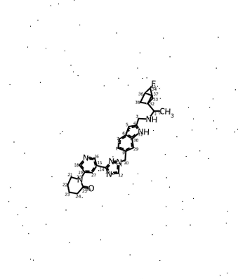 CC(NCc1cc2ccc(Cn3cnc(-c4cncc(N5CCCCC5=O)c4)n3)cc2[nH]1)C12CC(F)C(C1)C2